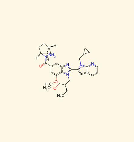 CC[C@@H](COC)Cn1c(-c2cc3cccnc3n2CC2CC2)nc2cc(C(=O)N3C[C@H]4CC[C@@H]3[C@@H]4N)cc(OC)c21